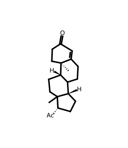 CC(=O)[C@H]1CC[C@H]2C3CCC4=CC(=O)CC[C@]4(C)[C@H]3CCC12C